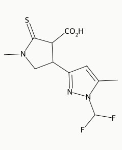 Cc1cc(C2CN(C)C(=S)C2C(=O)O)nn1C(F)F